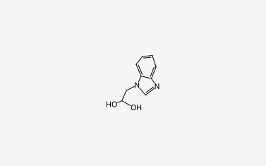 OC(O)Cn1cnc2ccccc21